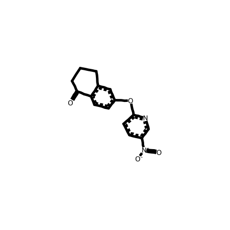 O=C1CCCc2cc(Oc3ccc([N+](=O)[O-])cn3)ccc21